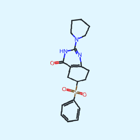 O=c1[nH]c(N2CCCCC2)nc2c1CC(S(=O)(=O)c1ccccc1)CC2